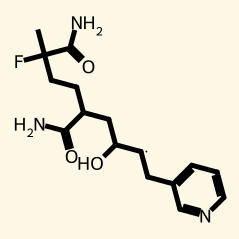 CC(F)(CCC(CC(O)[CH]Cc1cccnc1)C(N)=O)C(N)=O